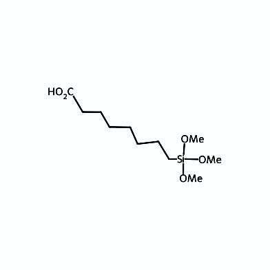 CO[Si](CCCCCCCC(=O)O)(OC)OC